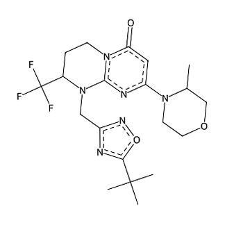 CC1COCCN1c1cc(=O)n2c(n1)N(Cc1noc(C(C)(C)C)n1)C(C(F)(F)F)CC2